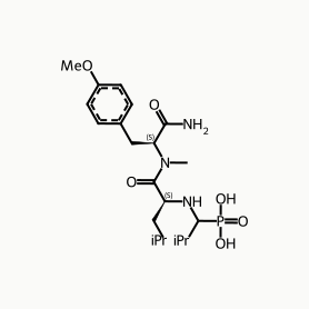 COc1ccc(C[C@@H](C(N)=O)N(C)C(=O)[C@H](CC(C)C)NC(C(C)C)P(=O)(O)O)cc1